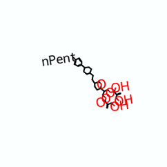 C=C(CO)C(=O)OCC(COC(O)C(=C)CO)C1CCC(CCC2CCC(c3ccc(CCCCC)cc3)CC2)CO1